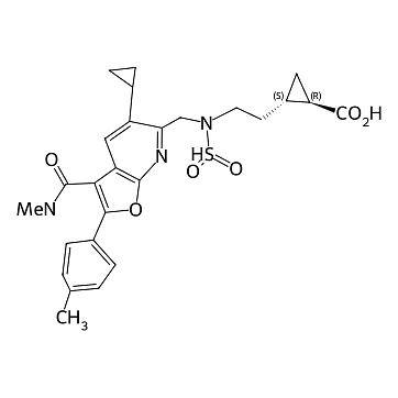 CNC(=O)c1c(-c2ccc(C)cc2)oc2nc(CN(CC[C@@H]3C[C@H]3C(=O)O)[SH](=O)=O)c(C3CC3)cc12